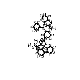 CC(CC(C(=O)N(C)C)(c1ccccc1)c1ccccc1)N1CCC(Nc2nc3cncnc3n2Cc2ccccn2)CC1